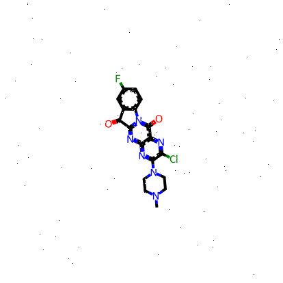 CN1CCN(c2nc3nc4n(c(=O)c3nc2Cl)-c2ccc(F)cc2C4=O)CC1